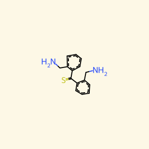 NCc1ccccc1C(=S)c1ccccc1CN